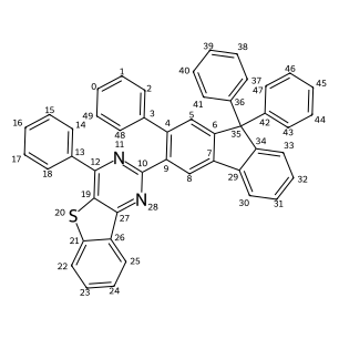 c1ccc(-c2cc3c(cc2-c2nc(-c4ccccc4)c4sc5ccccc5c4n2)-c2ccccc2C3(c2ccccc2)c2ccccc2)cc1